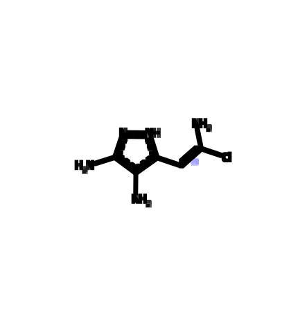 N/C(Cl)=C\c1[nH]nc(N)c1N